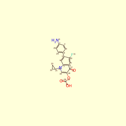 Nc1ccc(-c2cc3c(cc2F)c(=O)c(OC(=O)O)cn3C2CC2)cc1